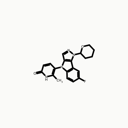 Cc1[nH]c(=O)ccc1-n1c2ccc(F)cc2c2c1cnn2C1CCCCO1